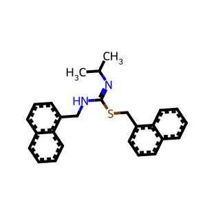 CC(C)/N=C(\NCc1cccc2ccccc12)SCc1cccc2ccccc12